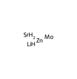 [LiH].[Mo].[SrH2].[Zn]